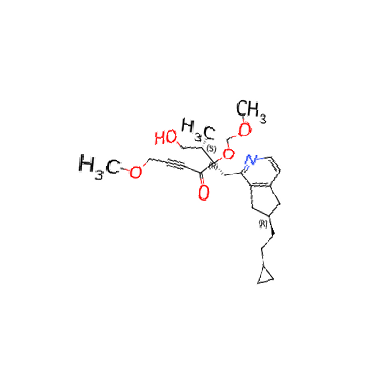 COCC#CC(=O)[C@](Cc1nccc2c1C[C@H](CCC1CC1)C2)(OCOC)[C@@H](C)CO